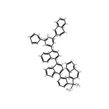 CC1(C)c2cccc(-c3ccc(-c4ccc(-c5cc(-c6ccc7ccccc7c6)nc(-c6ccccc6)n5)c5ccccc45)c4ccccc34)c2-c2c1ccc1ccccc21